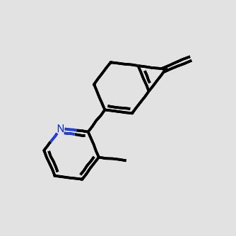 C=C1C2=C1CCC(c1ncccc1C)=C2